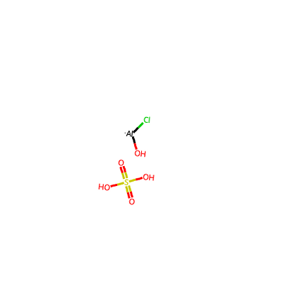 O=S(=O)(O)O.[OH][Al][Cl]